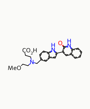 COCCN(CCC(=O)O)Cc1ccc2[nH]c(-c3cc4ccccc4[nH]c3=O)cc2c1